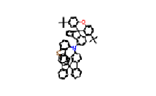 CC(C)(C)c1ccc2c(c1)C1(c3cc(C(C)(C)C)ccc3O2)c2ccccc2-c2c(N(c3ccc4c(c3)C3(c5ccccc5-c5ccccc53)c3ccccc3-4)c3cccc4sc5ccccc5c34)cccc21